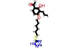 CCCc1c(OCCCCCCSc2nnn[nH]2)ccc(C(C)=O)c1O